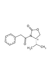 CC(C)[C@H]1COC(=O)N1C(=O)Cc1ccccc1